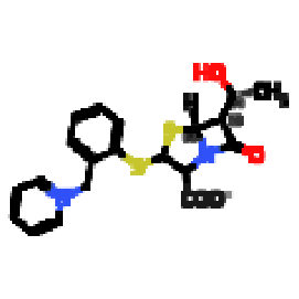 C[C@@H](O)[C@H]1C(=O)N2C(C(=O)[O-])C(Sc3ccccc3C[n+]3ccccc3)S[C@H]12